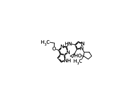 CCOc1nc(Nc2cnn(C3CCCC3(C)O)c2C2CC2)nc2[nH]ccc12